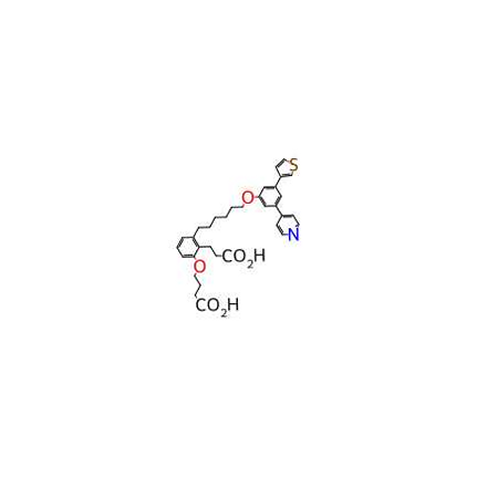 O=C(O)CCCOc1cccc(CCCCCCOc2cc(-c3ccncc3)cc(-c3ccsc3)c2)c1CCC(=O)O